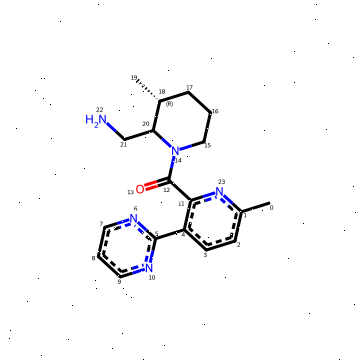 Cc1ccc(-c2ncccn2)c(C(=O)N2CCC[C@@H](C)C2CN)n1